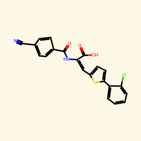 N#Cc1ccc(C(=O)NC(=Cc2ccc(-c3ccccc3Cl)s2)C(=O)O)cc1